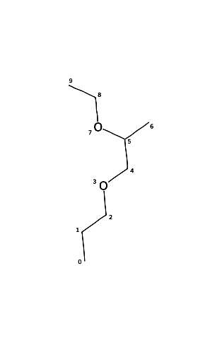 CCCOCC(C)OCC